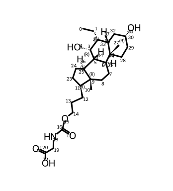 CC[C@H]1[C@@H](O)[C@@H]2[C@H](CC[C@]3(C)[C@@H](CCCOC(=O)NCC(=O)O)CC[C@@H]23)[C@@]2(C)CC[C@@H](O)C[C@@H]12